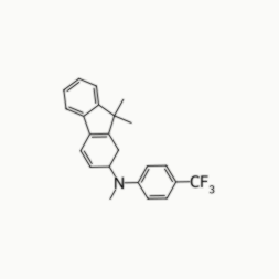 CN(c1ccc(C(F)(F)F)cc1)C1C=CC2=C(C1)C(C)(C)c1ccccc12